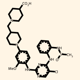 COc1cc(N2CCC(CN3CCC(C(=O)O)CC3)CC2)ccc1Nc1ncc(Cl)c(Nc2ccccc2N[S+](C)[O-])n1